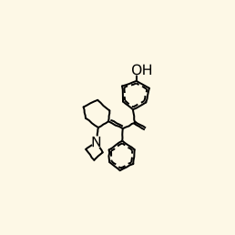 C=C(C(=C1CCCCC1N1CCC1)c1ccccc1)c1ccc(O)cc1